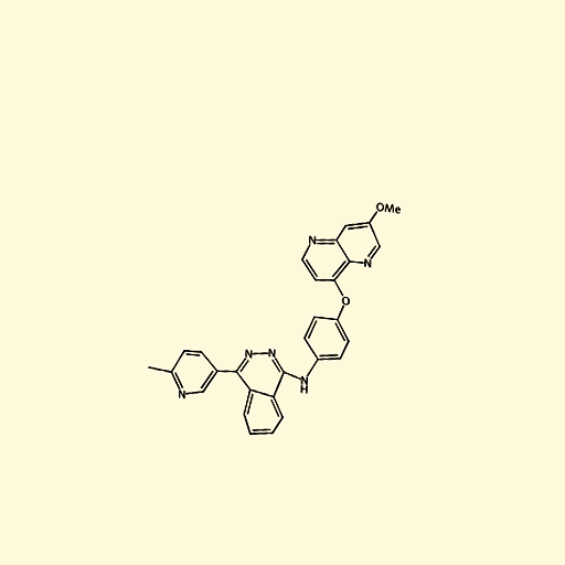 COc1cnc2c(Oc3ccc(Nc4nnc(-c5ccc(C)nc5)c5ccccc45)cc3)ccnc2c1